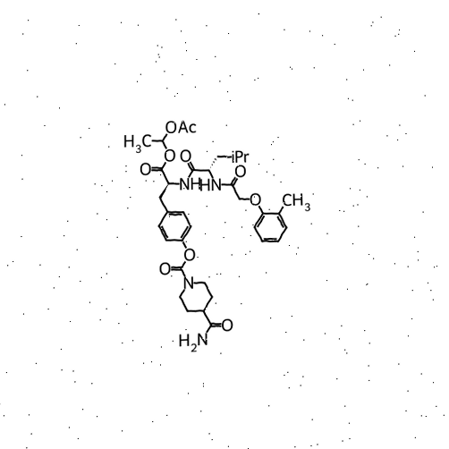 CC(=O)OC(C)OC(=O)[C@H](Cc1ccc(OC(=O)N2CCC(C(N)=O)CC2)cc1)NC(=O)[C@H](CC(C)C)NC(=O)COc1ccccc1C